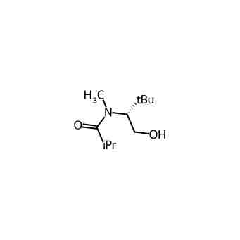 CC(C)C(=O)N(C)[C@@H](CO)C(C)(C)C